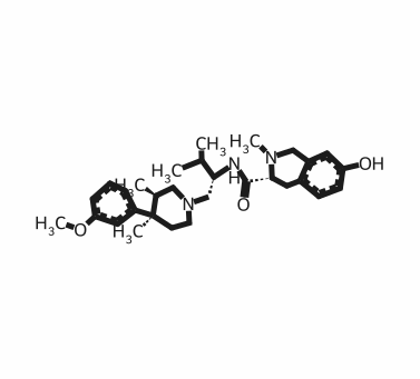 COc1cccc([C@]2(C)CCN(C[C@@H](NC(=O)[C@H]3Cc4ccc(O)cc4CN3C)C(C)C)C[C@@H]2C)c1